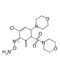 C=C1/C(=N\ON)C(Cl)=CC(N2CCOCC2)C1S(=O)(=O)N1CCOCC1